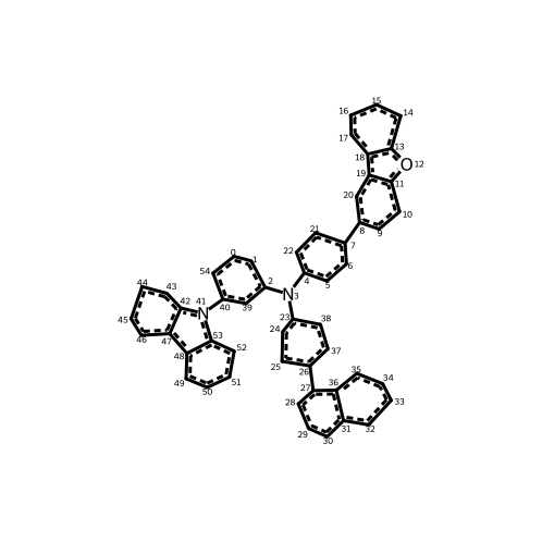 c1cc(N(c2ccc(-c3ccc4oc5ccccc5c4c3)cc2)c2ccc(-c3cccc4ccccc34)cc2)cc(-n2c3ccccc3c3ccccc32)c1